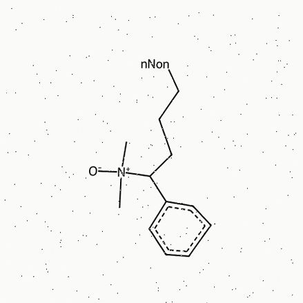 CCCCCCCCCCCCC(c1ccccc1)[N+](C)(C)[O-]